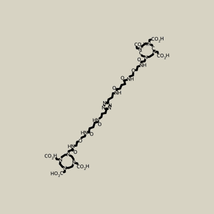 O=C(O)CN1CCN(CC(=O)O)CCN(CC(=O)NCCOCCNC(=O)CCCC(=O)NCCCc2nnc(CCCNC(=O)CCCC(=O)NCCOCCNC(=O)CN3CCN(CC(=O)O)CCN(CC(=O)O)CCN(CC(=O)O)CC3)nn2)CCN(CC(=O)O)CC1